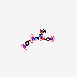 CC(C)(C)[Si](C)(C)O[C@@H]1C[C@H](C2CC2CNC(=O)OCc2ccc([N+](=O)[O-])cc2)N(C(=O)OCc2ccc([N+](=O)[O-])cc2)C1